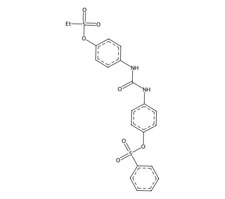 CCS(=O)(=O)Oc1ccc(NC(=O)Nc2ccc(OS(=O)(=O)c3ccccc3)cc2)cc1